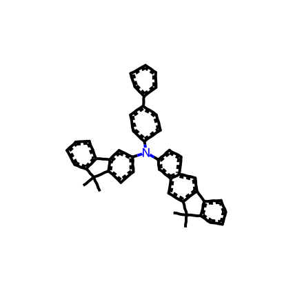 CC1(C)c2ccccc2-c2cc(N(c3ccc(-c4ccccc4)cc3)c3ccc4cc5c(cc4c3)C(C)(C)c3ccccc3-5)ccc21